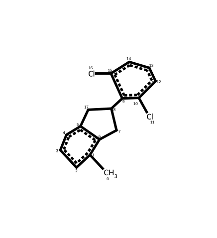 Cc1cccc2c1CC(c1c(Cl)cccc1Cl)C2